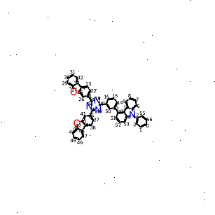 c1ccc(-n2c3ccccc3c3c(-c4cccc(-c5nc(-c6ccc7c(c6)oc6ccccc67)nc(-c6ccc7c(c6)oc6ccccc67)n5)c4)cccc32)cc1